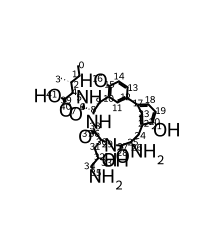 CC[C@@H](C)[C@H](NC(=O)[C@@H]1Cc2cc(ccc2O)-c2ccc(O)c(c2)C[C@H](N)C(=O)N[C@@H](C[C@@H](O)CN)C(=O)N1)C(=O)O